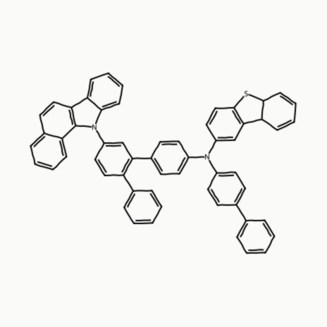 C1=CC2Sc3ccc(N(c4ccc(-c5ccccc5)cc4)c4ccc(-c5cc(-n6c7ccccc7c7ccc8ccccc8c76)ccc5-c5ccccc5)cc4)cc3C2C=C1